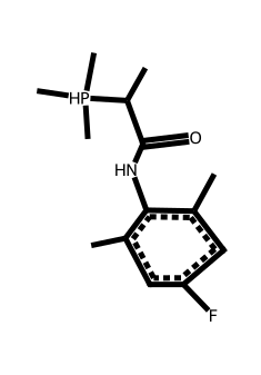 Cc1cc(F)cc(C)c1NC(=O)C(C)[PH](C)(C)C